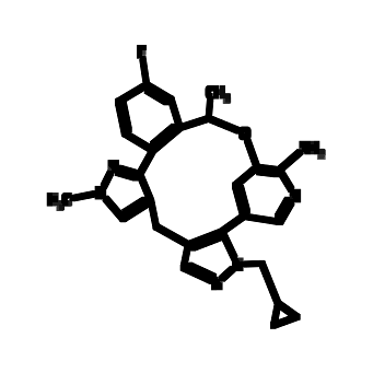 CC1Oc2cc(cnc2N)-c2c(cnn2CC2CC2)Cc2cn(C)nc2-c2ccc(F)cc21